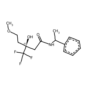 COCC[C@](O)(CC(=O)NC(C)c1ccccc1)C(F)(F)F